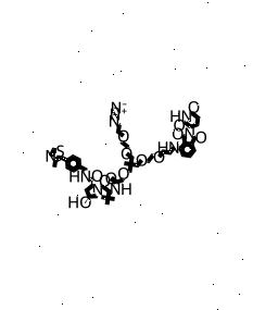 Cc1ncsc1-c1ccc(CNC(=O)[C@@H]2C[C@@H](O)CN2C(=O)[C@@H](NC(=O)COCC(C)(COCCOCCN=[N+]=[N-])COCCOCCNc2cccc3c2C(=O)N(C2CCC(=O)NC2=O)C3=O)C(C)(C)C)cc1